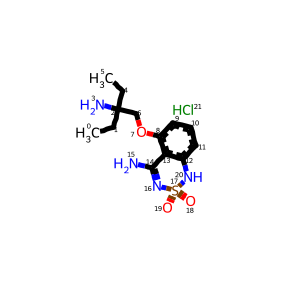 CCC(N)(CC)COc1cccc2c1C(N)=NS(=O)(=O)N2.Cl